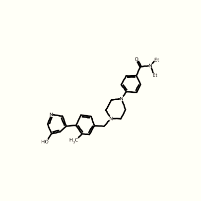 CCN(CC)C(=O)c1ccc(N2CCN(Cc3ccc(-c4cncc(O)c4)c(C)c3)CC2)cc1